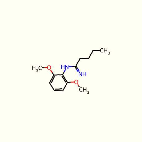 CCCCC(=N)Nc1c(OC)cccc1OC